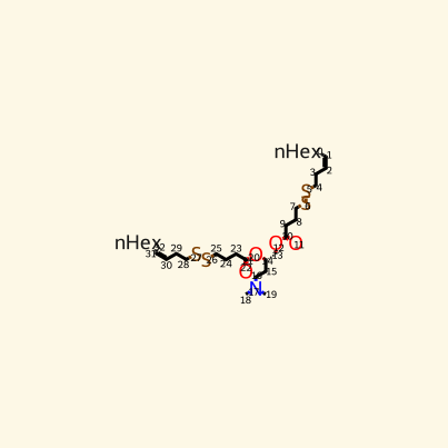 CCCCCC/C=C\CCSSCCCC(=O)OC[C@H](CCN(C)C)OC(=O)CCCSSCC/C=C\CCCCCC